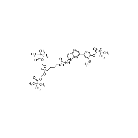 COc1cc(-c2cnc3ccc(NC(=O)NCCCCP(=O)(OCOC(=O)C(C)(C)C)OCOC(=O)C(C)(C)C)nc3n2)ccc1OC(=O)C(C)(C)C